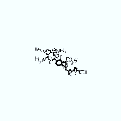 CC(C)N1CCC(C(CNC(=O)c2ccc3c(c2)c(C(=O)O)nn3Cc2cc(-c3ccc(Cl)s3)on2)S(N)(=O)=O)C(C(N)=O)C1